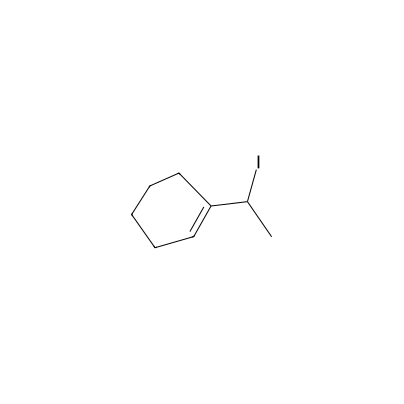 CC(I)C1=CCCCC1